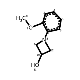 COc1ccccc1N1CC(O)C1